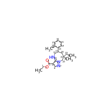 CCOC(=O)c1cnn2c1NCC(c1ccccc1C)CC(C)(CC)C2